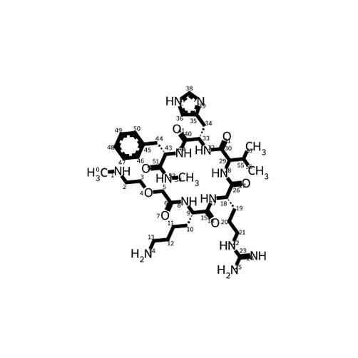 CNCCOCC(=O)N[C@@H](CCCCN)C(=O)N[C@@H](CCCNC(=N)N)C(=O)NC(C(=O)N[C@@H](Cc1c[nH]cn1)C(=O)N[C@@H](Cc1ccccc1)C(=O)NC)C(C)C